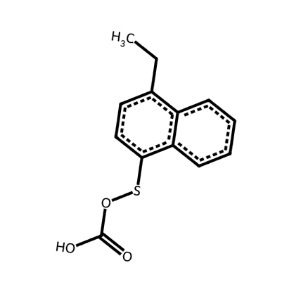 CCc1ccc(SOC(=O)O)c2ccccc12